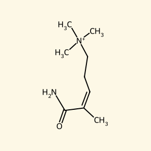 CC(=CCC[N+](C)(C)C)C(N)=O